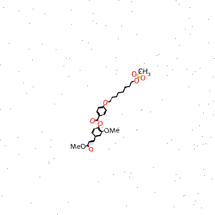 COC(=O)/C=C/c1ccc(OC(=O)c2ccc(OCCCCCCCCOS(C)(=O)=O)cc2)c(OC)c1